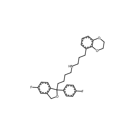 Fc1ccc(C2(CCCCNCCCc3cccc4c3OCCO4)OCc3cc(F)ccc32)cc1